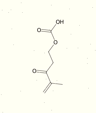 C=C(C)C(=O)CCOC(=O)O